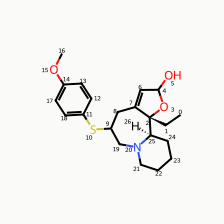 CC[C@]12OC(O)C=C1CC(Sc1ccc(OC)cc1)CN1CCCC[C@@H]12